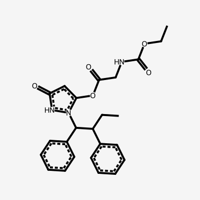 CCOC(=O)NCC(=O)Oc1cc(=O)[nH]n1C(c1ccccc1)C(CC)c1ccccc1